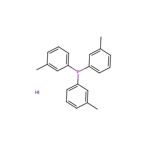 Cc1cccc(P(c2cccc(C)c2)c2cccc(C)c2)c1.I